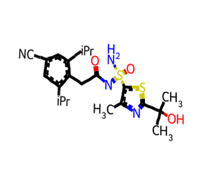 Cc1nc(C(C)(C)O)sc1S(N)(=O)=NC(=O)Cc1c(C(C)C)cc(C#N)cc1C(C)C